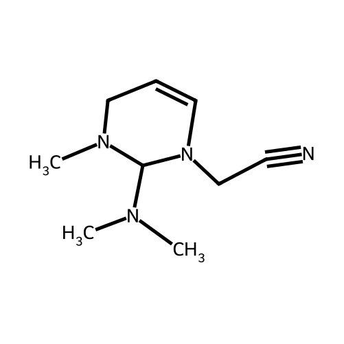 CN(C)C1N(C)CC=CN1CC#N